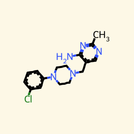 Cc1ncc(CN2CCN(c3cccc(Cl)c3)CC2)c(N)n1